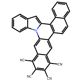 N#Cc1c(C#N)c(C#N)c2cc3c(cc2c1C#N)c1ccc2ccccc2c1c1cc2ccccc2n31